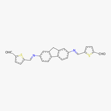 O=Cc1ccc(/C=N/c2ccc3c(c2)Cc2cc(/N=C/c4ccc(C=O)s4)ccc2-3)s1